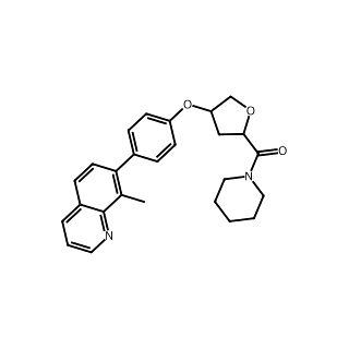 Cc1c(-c2ccc(OC3COC(C(=O)N4CCCCC4)C3)cc2)ccc2cccnc12